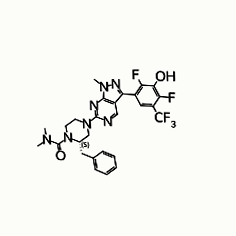 CN(C)C(=O)N1CCN(c2ncc3c(-c4cc(C(F)(F)F)c(F)c(O)c4F)nn(C)c3n2)C[C@@H]1Cc1ccccc1